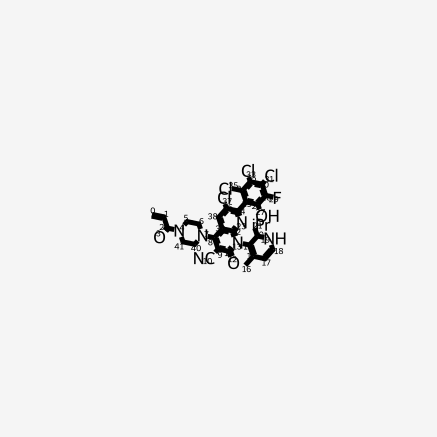 C=CC(=O)N1CCN(c2c(C#N)c(=O)n(C3=C(C)C=CNC3C(C)C)c3nc(-c4c(O)c(F)c(Cl)c(Cl)c4Cl)c(Cl)cc23)CC1